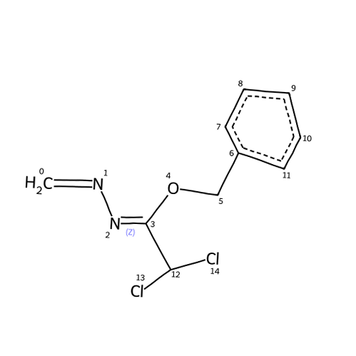 C=N/N=C(\OCc1ccccc1)C(Cl)Cl